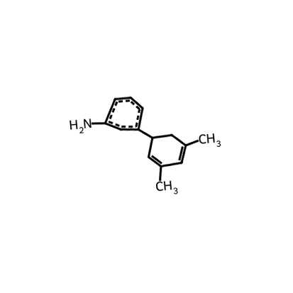 CC1=CC(c2cccc(N)c2)CC(C)=C1